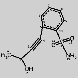 CC(O)C#Cc1ccccc1S(N)(=O)=O